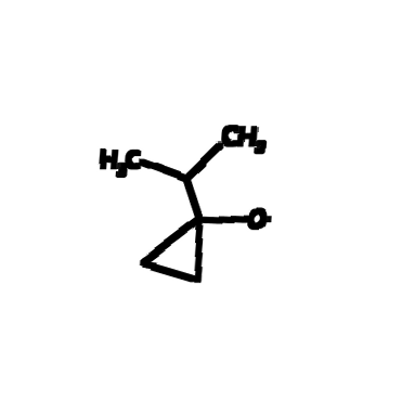 CC(C)C1([O])CC1